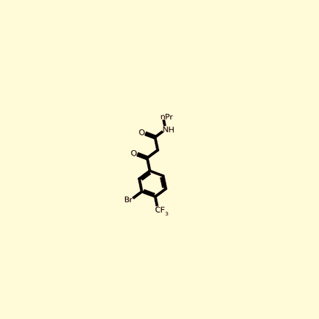 CCCNC(=O)CC(=O)c1ccc(C(F)(F)F)c(Br)c1